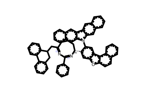 c1ccc(C2=N/[C@@H](c3cc4oc5ccc6ccccc6c5c4cc3-n3c4cc5ccccc5cc4c4cc5ccccc5cc43)CCC/C(CC3Cc4ccccc4-c4ccccc43)=N\2)cc1